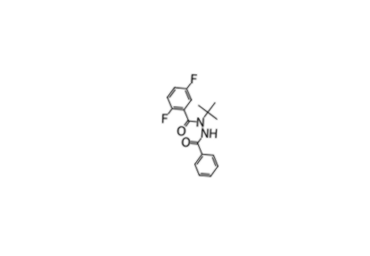 CC(C)(C)N(NC(=O)c1ccccc1)C(=O)c1cc(F)ccc1F